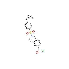 CCc1ccc(S(=O)(=O)N2CCc3cc(C(=O)Cl)ccc3C2)cc1